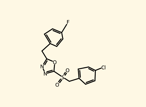 O=S(=O)(Cc1ccc(Cl)cc1)c1nnc(Cc2ccc(F)cc2)o1